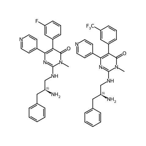 Cn1c(NC[C@@H](N)Cc2ccccc2)nc(-c2ccncc2)c(-c2cccc(C(F)(F)F)c2)c1=O.Cn1c(NC[C@@H](N)Cc2ccccc2)nc(-c2ccncc2)c(-c2cccc(F)c2)c1=O